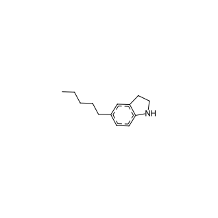 CCCCCc1ccc2c(c1)CCN2